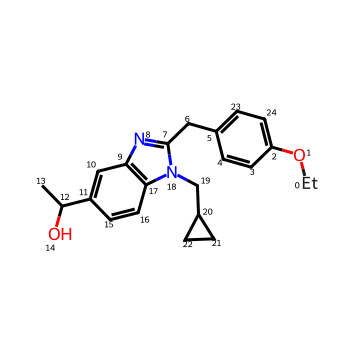 CCOc1ccc(Cc2nc3cc(C(C)O)ccc3n2CC2CC2)cc1